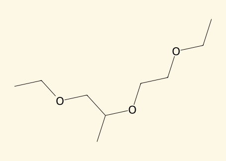 CCOCCOC(C)COCC